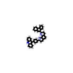 c1ccc2c(c1)cc(-c1ccc3ccc4ccc(-c5ccc(-c6c7ccccc7nc7ccccc67)cc5)nc4c3n1)c1ccccc12